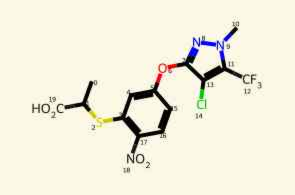 CC(Sc1cc(Oc2nn(C)c(C(F)(F)F)c2Cl)ccc1[N+](=O)[O-])C(=O)O